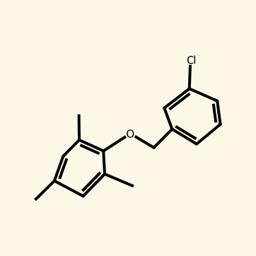 Cc1cc(C)c(OCc2cccc(Cl)c2)c(C)c1